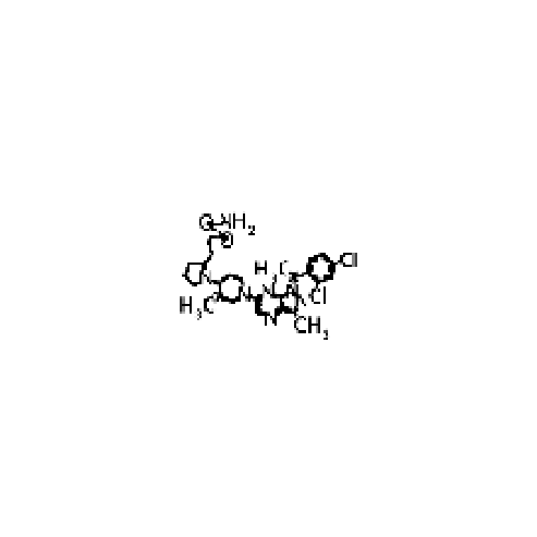 Cc1nn([C@H](C)c2ccc(Cl)cc2Cl)c2nc(N3CCC(N4CCCC4CCS(N)(=O)=O)[C@H](C)C3)cnc12